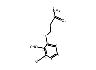 CNC(=O)CCOc1cccc(Cl)c1C=O